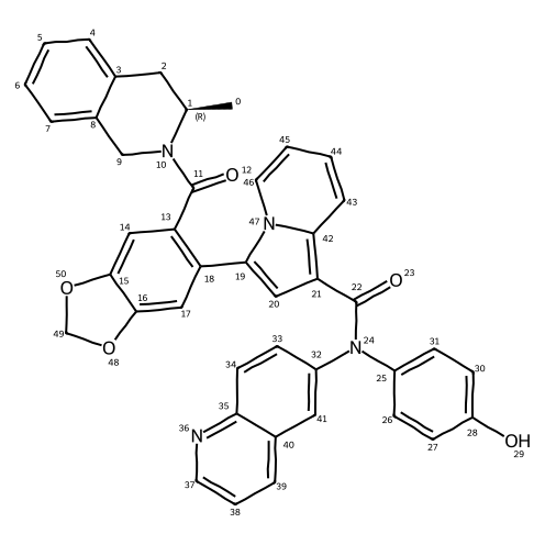 C[C@@H]1Cc2ccccc2CN1C(=O)c1cc2c(cc1-c1cc(C(=O)N(c3ccc(O)cc3)c3ccc4ncccc4c3)c3ccccn13)OCO2